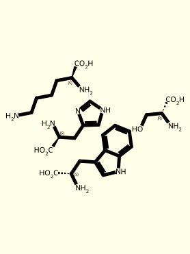 NCCCC[C@H](N)C(=O)O.N[C@@H](Cc1c[nH]c2ccccc12)C(=O)O.N[C@@H](Cc1c[nH]cn1)C(=O)O.N[C@H](CO)C(=O)O